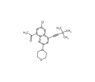 CC(=O)c1cc(Cl)cc2c(C#C[Si](C)(C)C)cc(N3CCOCC3)nc12